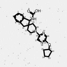 O=C(O)NC1c2ccccc2CC12CCN(c1cnc(OC3CCCC3)cn1)CC2